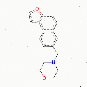 c1cc2c(ccc3cc(CN4CCOCC4)ccc32)o1